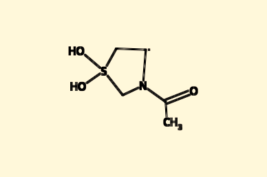 CC(=O)N1[CH]CS(O)(O)C1